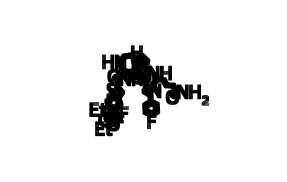 CCOP(=O)(OCC)C(F)(F)c1ccc2sc(C(=O)N[C@H]3CNCC[C@H]4CC[C@@H](C(=O)N[C@@H](CCCC(N)=O)c5nc(-c6ccc(F)cc6)cs5)N4C3=O)cc2c1